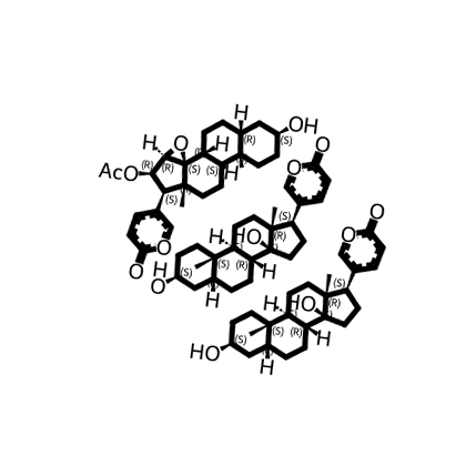 CC(=O)O[C@H]1[C@H]2O[C@]23[C@@H]2CC[C@@H]4C[C@@H](O)CC[C@]4(C)[C@H]2CC[C@]3(C)[C@H]1c1ccc(=O)oc1.C[C@]12CC[C@H](O)C[C@H]1CC[C@@H]1[C@@H]2CC[C@]2(C)[C@@H](c3ccc(=O)oc3)CC[C@]12O.C[C@]12CC[C@H](O)C[C@H]1CC[C@@H]1[C@@H]2CC[C@]2(C)[C@@H](c3ccc(=O)oc3)CC[C@]12O